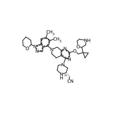 Cc1cc2c(cnn2C2CCCCO2)c(N2CCc3c(nc(OCC4(C5CNCCO5)CC4)nc3N3CCN[C@@H](CC#N)C3)C2)c1C